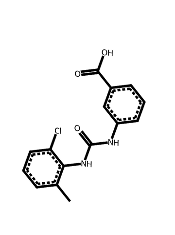 Cc1cccc(Cl)c1NC(=O)Nc1cccc(C(=O)O)c1